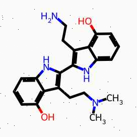 CN(C)CCc1c(-c2[nH]c3cccc(O)c3c2CCN)[nH]c2cccc(O)c12